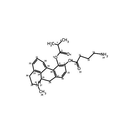 CC(C)C(=O)Oc1c(OC(=O)CCCN)ccc2c1-c1cccc3c1[C@@H](C2)N(C)CC3